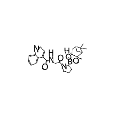 CC1(C)C2CC1[C@]1(C)OB([C@@H]3CCCN3C(=O)CNC(=O)c3ccnc4ccccc34)O[C@@H]1C2